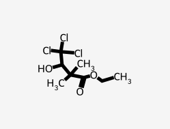 CCOC(=O)C(C)(C)C(O)C(Cl)(Cl)Cl